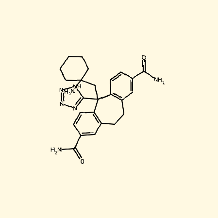 NC(=O)c1ccc2c(c1)CCc1cc(C(N)=O)ccc1C2(CC1(N)CCCCC1)c1nnn[nH]1